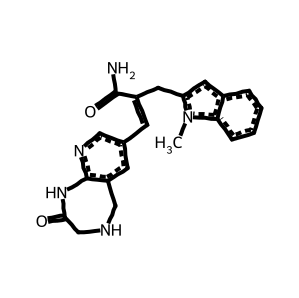 Cn1c(C/C(=C/c2cnc3c(c2)CNCC(=O)N3)C(N)=O)cc2ccccc21